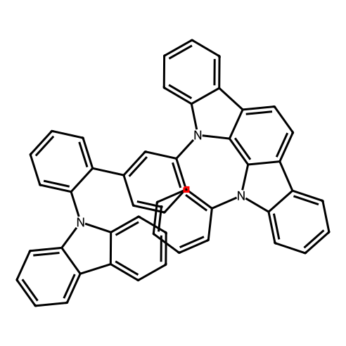 c1ccc(-n2c3ccccc3c3ccc4c5ccccc5n(-c5cccc(-c6ccccc6-n6c7ccccc7c7ccccc76)c5)c4c32)cc1